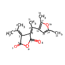 CC(C)=C1C(=O)OC(=O)C1=C(C)c1cc(C)oc1C